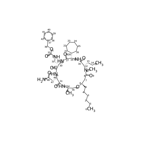 CCCCCC[C@@H]1CC(=O)N(C)[C@@H](CCC)C(=O)N[C@@H](C2CCCCCC2)C(=O)N[C@@H](CNC(=O)OCc2ccccc2)C(=O)N[C@@H](CC(N)=O)C(=O)N[C@H](C)CO1